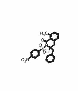 [2H]C1(Cc2ccccc2)Cc2cccc(C)c2C(=O)N1S(=O)(=O)c1ccc([N+](=O)[O-])cc1